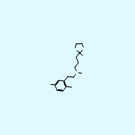 CCCCCC1(CCCN(CC)CCc2cc(OC)ccc2C)OCCO1